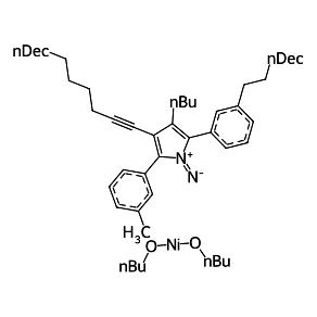 CCCCCCCCCCCCCCC#CC1=C(c2cccc(C)c2)[N+](=[N-])C(c2cccc(CCCCCCCCCCCC)c2)=C1CCCC.CCCC[O][Ni][O]CCCC